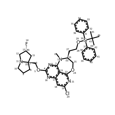 CN1c2nc(OC[C@@]34CCCN3C[C@H](F)C4)nc3cc(Cl)nc(c23)OC[C@@H]1CCO[Si](c1ccccc1)(c1ccccc1)C(C)(C)C